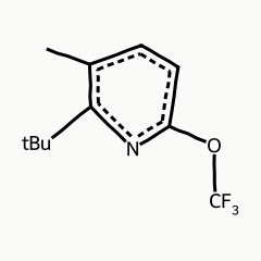 Cc1ccc(OC(F)(F)F)nc1C(C)(C)C